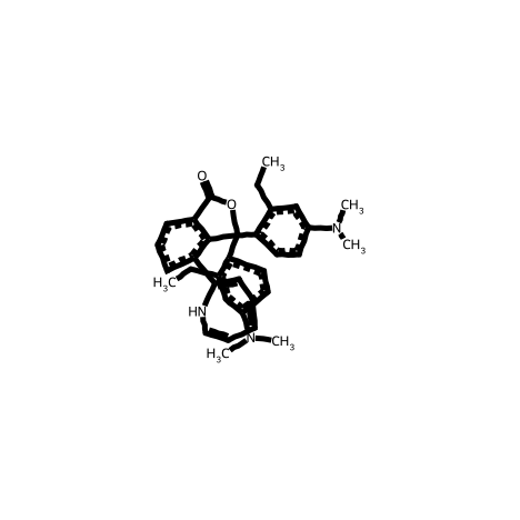 CCc1cc(N(C)C)ccc1C1(c2ccc(N(C)C)cc2CC)OC(=O)c2cccc(C3=CC=CC=CN3)c21